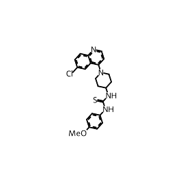 COc1ccc(NC(=S)NC2CCN(c3ccnc4ccc(Cl)cc34)CC2)cc1